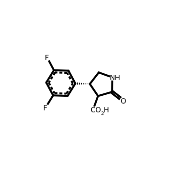 O=C(O)C1C(=O)NC[C@H]1c1cc(F)cc(F)c1